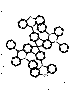 c1ccc(B2c3ccccc3B(c3ccccc3)c3c2ccc2c3-c3cc(N4c5ccccc5Oc5ccccc54)ccc3C23c2ccc(N4c5ccccc5Oc5ccccc54)cc2-c2c3ccc3c2B(c2ccccc2)c2ccccc2B3c2ccccc2)cc1